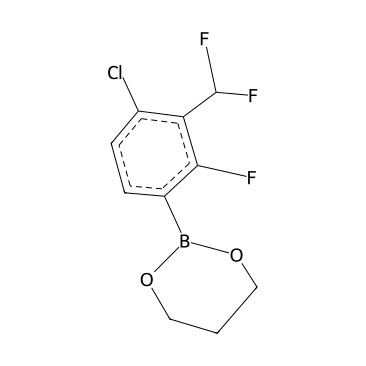 Fc1c(B2OCCCO2)ccc(Cl)c1C(F)F